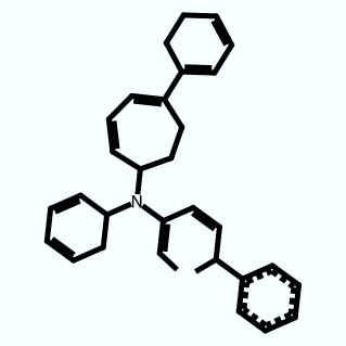 C/C=C(\C=C/C(C)c1ccccc1)N(C1C=CC=CC1)C1C=CC=C(C2=CC=CCC2)CC1